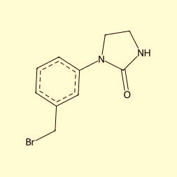 O=C1NCCN1c1cccc(CBr)c1